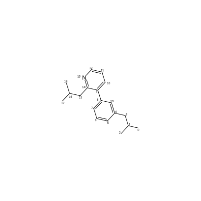 CC(C)Cc1cccc(-c2cccnc2CC(C)C)c1